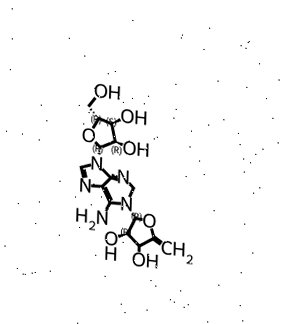 C=C1O[C@@H](N2CN=c3c(ncn3[C@@H]3O[C@H](CO)[C@@H](O)[C@H]3O)=C2N)[C@H](O)C1O